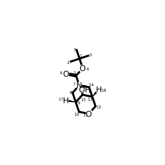 CC(C)(C)OC(=O)N1C[C@H]2COC[C@@H](C1)C2O